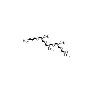 CCCCOCN(C)COCN(C)COCN(C)COCNC